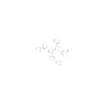 C=N/C(=C\C=C/C)c1cc(-c2cc(-c3cccc(-c4ccccc4)n3)nc(-c3cccc(-c4ccccc4)n3)c2)cc(-c2ccccn2)c1